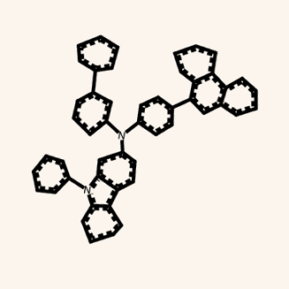 c1ccc(-c2cccc(N(c3ccc(-c4cc5ccccc5c5ccccc45)cc3)c3ccc4c5ccccc5n(-c5ccccc5)c4c3)c2)cc1